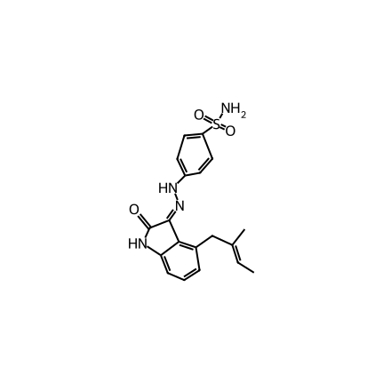 CC=C(C)Cc1cccc2c1C(=NNc1ccc(S(N)(=O)=O)cc1)C(=O)N2